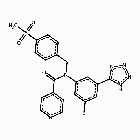 CS(=O)(=O)c1ccc(CN(C(=O)c2ccncc2)c2cc(F)cc(-c3nnn[nH]3)c2)cc1